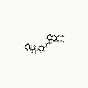 COc1cc2nccc(NCCc3ccc(NC(=O)Nc4ccccc4)cc3)c2cc1OC